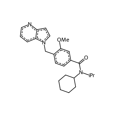 COc1cc(C(=O)N(C(C)C)C2CCCCC2)ccc1Cn1ccc2ncccc21